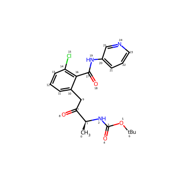 C[C@H](NC(=O)OC(C)(C)C)C(=O)Cc1cccc(Cl)c1C(=O)Nc1cccnc1